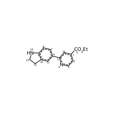 CCOC(=O)c1ccnc(-c2ccc3c(c2)CCN3)c1